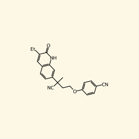 CCc1cc2ccc(C(C)(C#N)CCOc3ccc(C#N)cc3)cc2[nH]c1=O